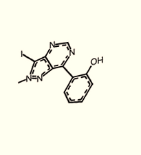 Cn1nc2c(-c3ccccc3O)ncnc2c1I